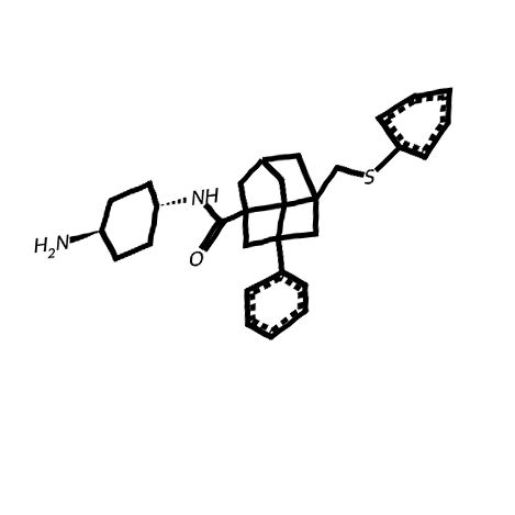 N[C@H]1CC[C@H](NC(=O)C23CC4CC5(CSc6ccccc6)CC(c6ccccc6)(C2)C53C4)CC1